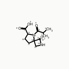 CC(C)C(=O)N1C(C(=O)O)CCC12CNC2=O